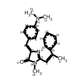 C/C(=C/C1=NC(=C\c2ccc(N(C)C)cc2)/C(=O)N1C)c1ccccc1